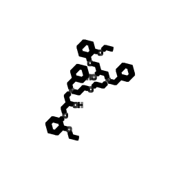 CCOc1ccccc1OCC(O)CN(CCOCCN(Cc1ccccc1)CC(O)COc1ccccc1OCC)Cc1ccccc1